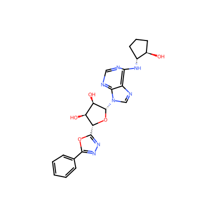 O[C@@H]1[C@H](O)[C@@H](c2nnc(-c3ccccc3)o2)O[C@H]1n1cnc2c(N[C@@H]3CCC[C@H]3O)ncnc21